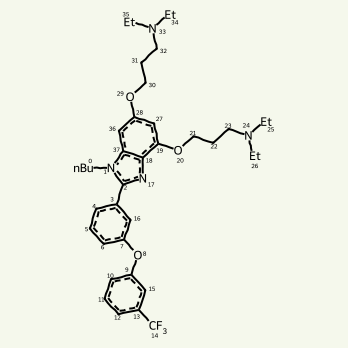 CCCCn1c(-c2cccc(Oc3cccc(C(F)(F)F)c3)c2)nc2c(OCCCN(CC)CC)cc(OCCCN(CC)CC)cc21